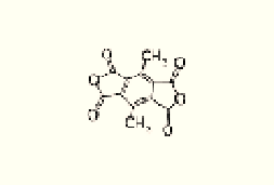 Cc1c2c(=O)oc(=O)c2c(C)c2c(=O)oc(=O)c12